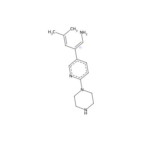 CC(C)=C/C(=C\N)c1ccc(N2CCNCC2)nc1